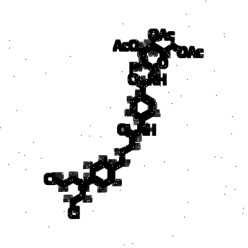 CC(=O)OC[C@H]1O[C@@H](NC(=O)c2ccc(NC(=O)CCCc3ccc(N(CCCl)CCCl)cc3)cc2)[C@H](F)[C@@H](OC(C)=O)[C@@H]1OC(C)=O